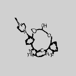 CN1CCN(c2ccc3cc2OCC(O)COCc2cccc(F)c2-c2cc4c-3n[nH]c4cn2)CC1